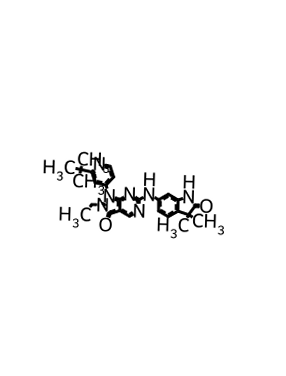 CCn1c(=O)c2cnc(Nc3ccc4c(c3)NC(=O)C4(C)C)nc2n1-c1ccnc(C(C)(C)C)c1